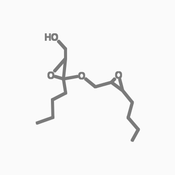 CCCCC1OC1COC1(CCCC)OC1CO